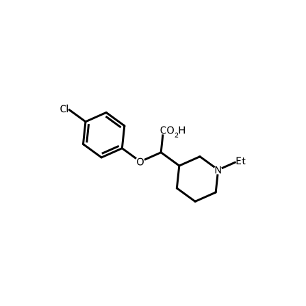 CCN1CCCC(C(Oc2ccc(Cl)cc2)C(=O)O)C1